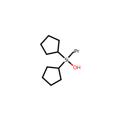 CC(C)[Si](O)(C1CCCC1)C1CCCC1